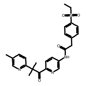 CCS(=O)(=O)c1ccc(CC(=O)Nc2ccc(C(=O)C(C)(C)c3ccc(C)cn3)nc2)cc1